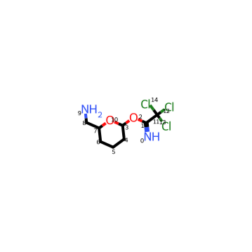 N=C(OC1CCCC(CN)O1)C(Cl)(Cl)Cl